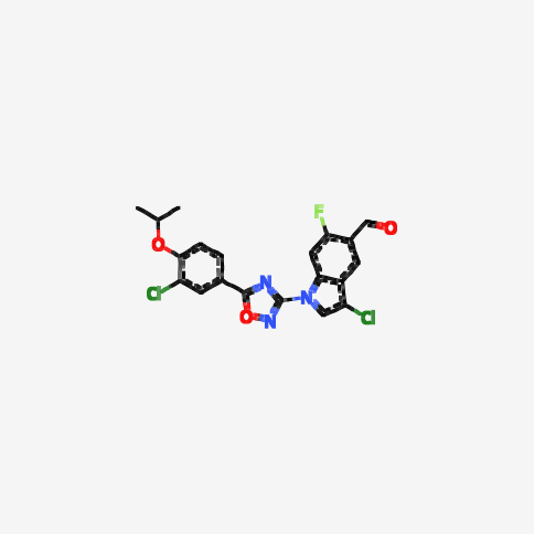 CC(C)Oc1ccc(-c2nc(-n3cc(Cl)c4cc(C=O)c(F)cc43)no2)cc1Cl